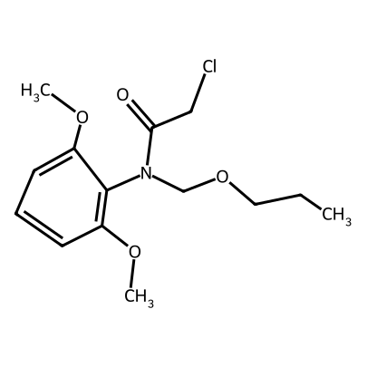 CCCOCN(C(=O)CCl)c1c(OC)cccc1OC